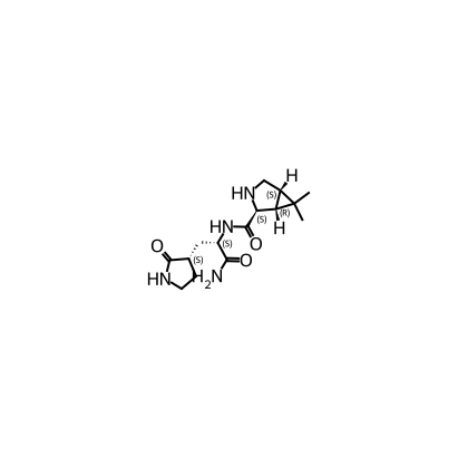 CC1(C)[C@@H]2[C@@H](C(=O)N[C@@H](C[C@@H]3CCNC3=O)C(N)=O)NC[C@@H]21